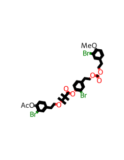 COc1ccc(CCOC(=O)OCCc2ccc(OC(=O)C(C)(C)C(C)(C)OCCc3ccc(OC(C)=O)c(Br)c3)c(Br)c2)cc1Br